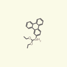 CCOC(OCC)[SiH2]c1ccc2c3ccccc3c3ccccc3c2c1